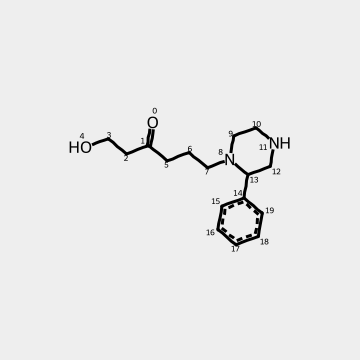 O=C(CCO)CCCN1CCNCC1c1ccccc1